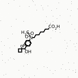 CCCC1(C(O)c2ccc(N(CCCCCCCC(=O)O)S(C)(=O)=O)cc2)CCC1